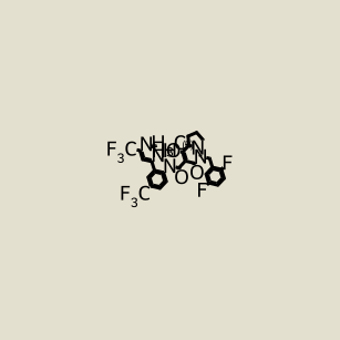 C[C@]12CCCN1N(Cc1cc(F)ccc1F)C(=O)C(C(=O)Nc1ccc(C(F)(F)F)cc1-c1cc(C(F)(F)F)ncn1)=C2O